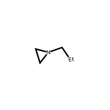 [CH2]CCN1CC1